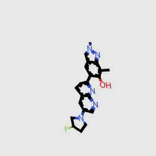 Cc1c(O)c(-c2ccc3cc(N4CC[C@@H](F)C4)cnc3n2)cc2cn(C)nc12